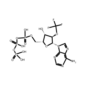 Nc1ncnc2c1ncn2[C@@H]1O[C@H](COP(=O)(O)OP(=O)(O)OP(=O)(O)O)[C@H](O)[C@H]1OC(F)(F)F